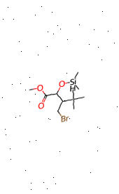 COC(=O)C(O[SiH](C)C)C(CBr)C(C)(C)C